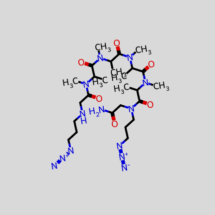 CC(C(=O)N(C)C(C)C(=O)N(C)C(C)C(=O)N(C)C(C)C(=O)N(CCCN=[N+]=[N-])CC(N)=O)N(C)C(=O)CNCCCN=[N+]=[N-]